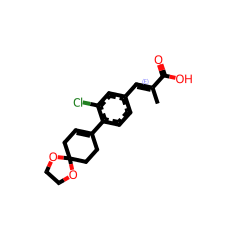 C/C(=C\c1ccc(C2=CCC3(CC2)OCCO3)c(Cl)c1)C(=O)O